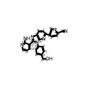 N#Cc1ccc(-c2ccc3nc(-c4cccnc4N)n(-c4ccc(CO)cc4)c3n2)cn1